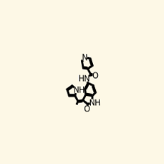 CC(=C1C(=O)Nc2ccc(NC(=O)c3ccncc3)cc21)c1ccc[nH]1